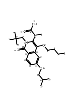 CCCCOc1c(N(C)C(=O)O)n(CC(C)(C)C)c(=O)c2ccc(OCC(C)C)cc12